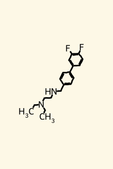 CCN(CC)CCNCc1ccc(-c2ccc(F)c(F)c2)cc1